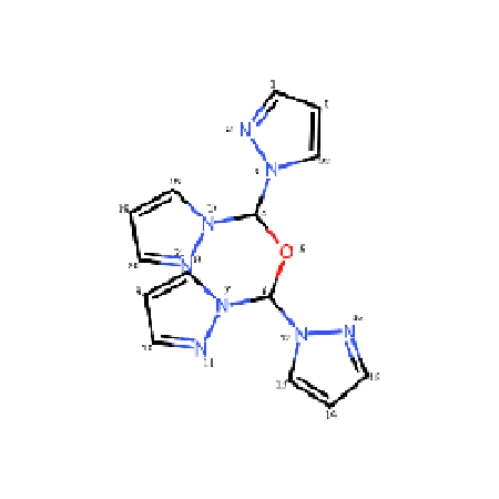 c1cnn(C(OC(n2cccn2)n2cccn2)n2cccn2)c1